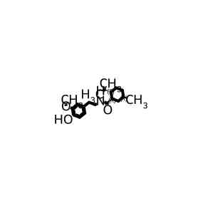 COc1cc(CCNC(=O)[C@@H]2C[C@H](C)CC[C@H]2C(C)C)ccc1O